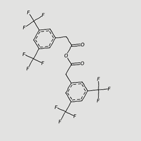 O=C(Cc1cc(C(F)(F)F)cc(C(F)(F)F)c1)OC(=O)Cc1cc(C(F)(F)F)cc(C(F)(F)F)c1